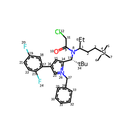 [CH2]CC(CC[Si](C)(C)C)N(C(=O)CCl)[C@@H](c1cc(-c2cc(F)ccc2F)cn1Cc1ccccc1)C(C)(C)C